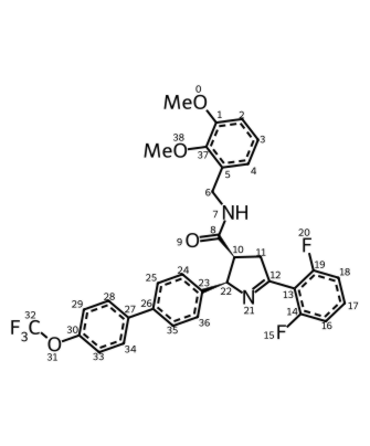 COc1cccc(CNC(=O)[C@H]2CC(c3c(F)cccc3F)=N[C@H]2c2ccc(-c3ccc(OC(F)(F)F)cc3)cc2)c1OC